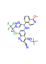 COc1nccc2c(C(Nc3cc(Cl)c4ncc(C#N)c(NCC(C)(C)C)c4c3)c3cn(C4(C(F)(F)F)CC4)nn3)cccc12